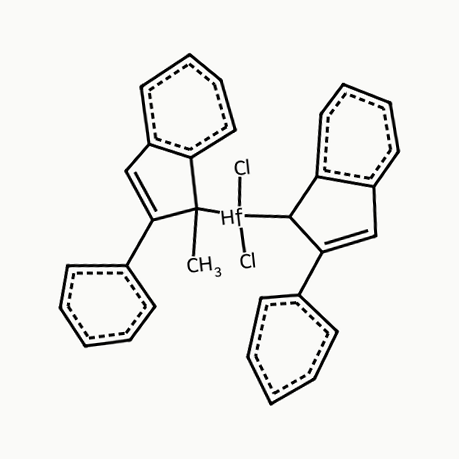 C[C]1([Hf]([Cl])([Cl])[CH]2C(c3ccccc3)=Cc3ccccc32)C(c2ccccc2)=Cc2ccccc21